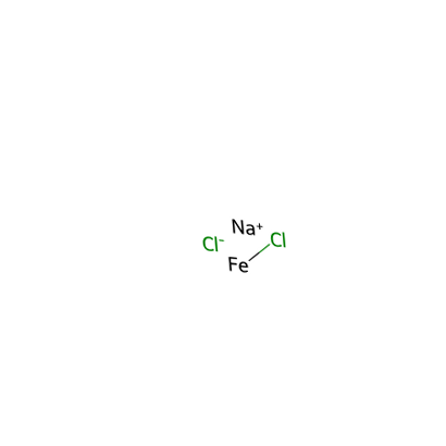 [Cl-].[Cl][Fe].[Na+]